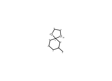 CC1CCCC2(C1)OCCO2